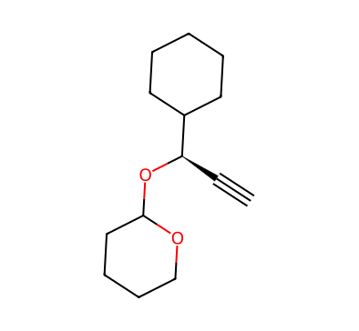 C#C[C@@H](OC1CCCCO1)C1CCCCC1